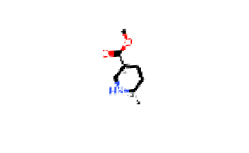 COC(=O)[C@H]1CC[C@H](C)NC1